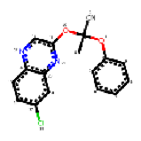 CC(C#N)(Oc1ccccc1)Oc1cnc2ccc(Cl)cc2n1